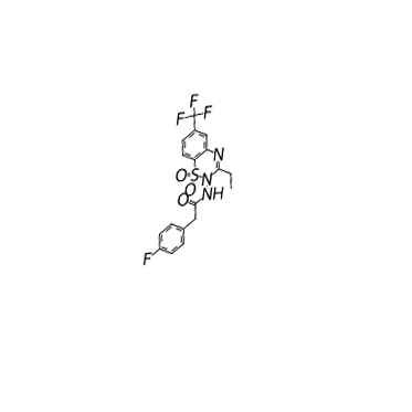 CCC1=Nc2cc(C(F)(F)F)ccc2S(=O)(=O)N1NC(=O)Cc1ccc(F)cc1